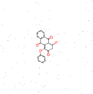 O=C1CC(=O)C2C(=O)c3ccccc3C(=O)C2=C1Oc1ccccc1